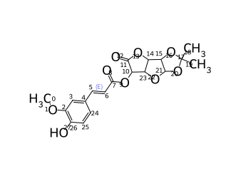 COc1cc(/C=C/C(=O)OC2C(=O)OC3C4OC(C)(C)OC4OC23)ccc1O